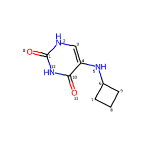 O=c1[nH]cc(NC2CCC2)c(=O)[nH]1